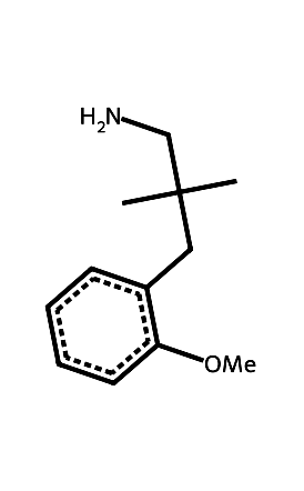 COc1ccccc1CC(C)(C)CN